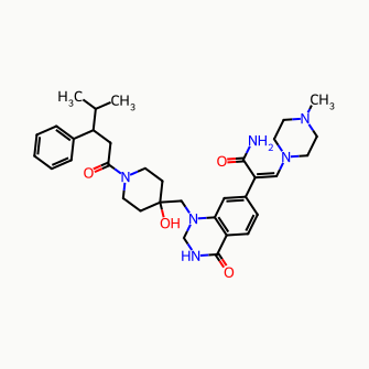 CC(C)C(CC(=O)N1CCC(O)(CN2CNC(=O)c3ccc(C(=CN4CCN(C)CC4)C(N)=O)cc32)CC1)c1ccccc1